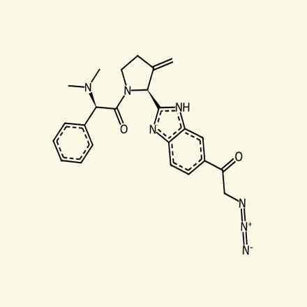 C=C1CCN(C(=O)[C@@H](c2ccccc2)N(C)C)[C@@H]1c1nc2ccc(C(=O)CN=[N+]=[N-])cc2[nH]1